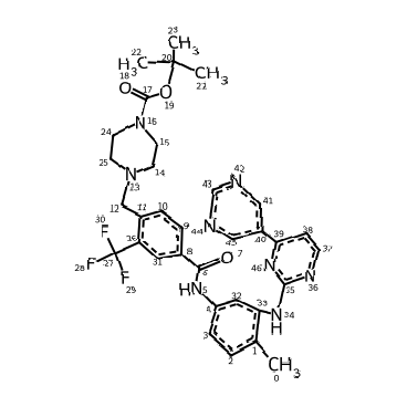 Cc1ccc(NC(=O)c2ccc(CN3CCN(C(=O)OC(C)(C)C)CC3)c(C(F)(F)F)c2)cc1Nc1nccc(-c2cncnc2)n1